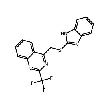 FC(F)(F)c1nc(CSc2nc3ccccc3[nH]2)c2ccccc2n1